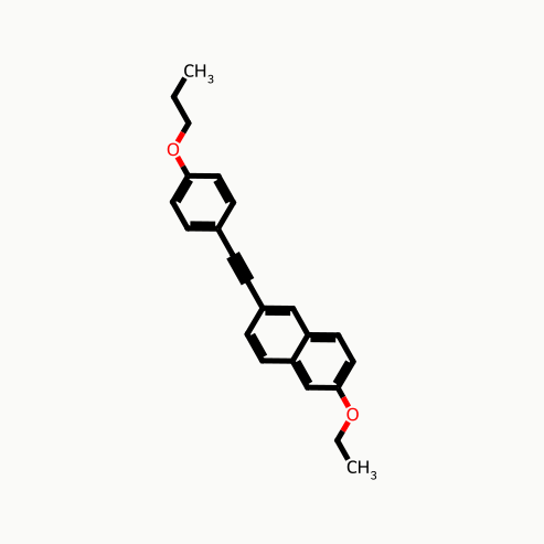 CCCOc1ccc(C#Cc2ccc3cc(OCC)ccc3c2)cc1